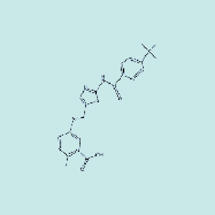 Cc1ccc(SCc2cnc(NC(=O)c3ccc(C(C)(C)C)cc3)s2)cc1C(=O)O